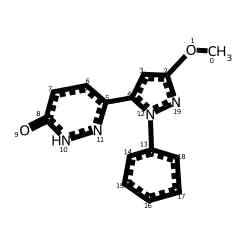 COc1cc(-c2ccc(=O)[nH]n2)n(-c2ccccc2)n1